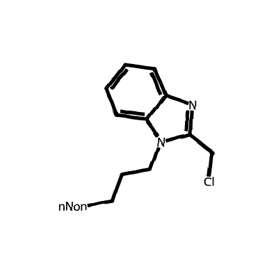 CCCCCCCCCCCCn1c(CCl)nc2ccccc21